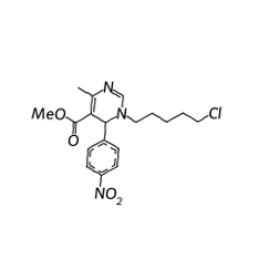 COC(=O)C1=C(C)N=CN(CCCCCCl)C1c1ccc([N+](=O)[O-])cc1